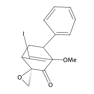 COC12C=C(I)C(CC1c1ccccc1)[C@@]1(CO1)C2=O